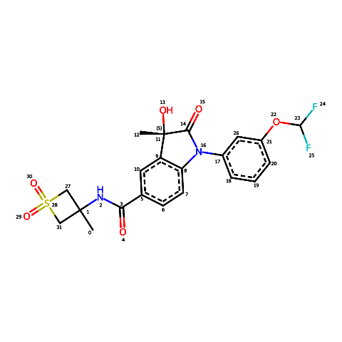 CC1(NC(=O)c2ccc3c(c2)[C@](C)(O)C(=O)N3c2cccc(OC(F)F)c2)CS(=O)(=O)C1